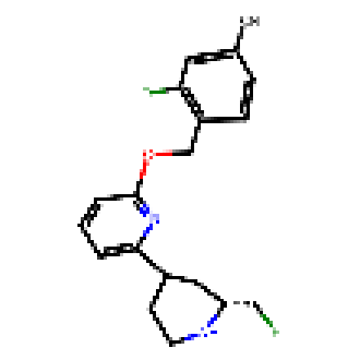 N#Cc1ccc(COc2cccc(C3CCN[C@@H](CF)C3)n2)c(F)c1